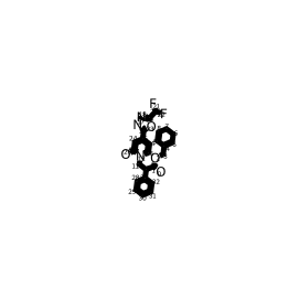 O=C(OCC1=CCCC=C1)C(Cn1ccc(-c2nnc(C(F)F)o2)cc1=O)c1ccccc1